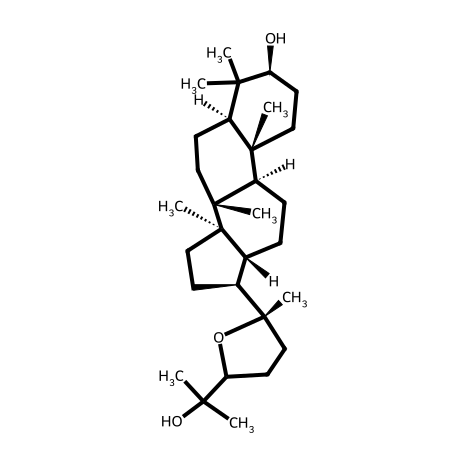 CC(C)(O)C1CC[C@@](C)([C@H]2CC[C@]3(C)[C@@H]2CC[C@@H]2[C@@]4(C)CC[C@H](O)C(C)(C)[C@@H]4CC[C@]23C)O1